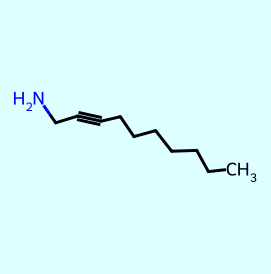 CCCCCCCC#CCN